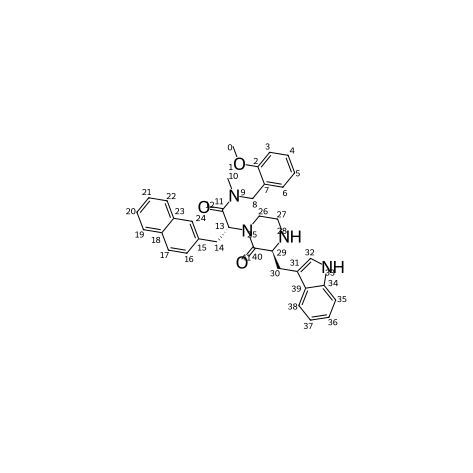 COc1ccccc1CN(C)C(=O)[C@@H](Cc1ccc2ccccc2c1)N1CCN[C@@H](Cc2c[nH]c3ccccc23)C1=O